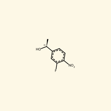 C[C@H](O)c1ccc([N+](=O)[O-])c(F)c1